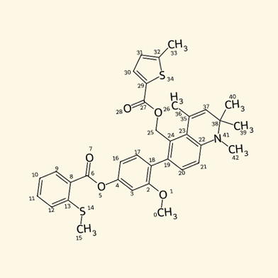 COc1cc(OC(=O)c2ccccc2SC)ccc1-c1ccc2c(c1COC(=O)c1ccc(C)s1)C(C)=CC(C)(C)N2C